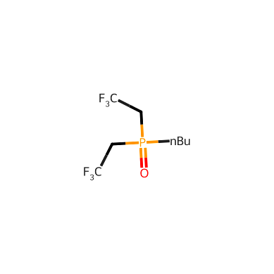 CCCCP(=O)(CC(F)(F)F)CC(F)(F)F